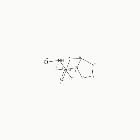 CCNC(=O)N1C2CCC1CN(C)C2